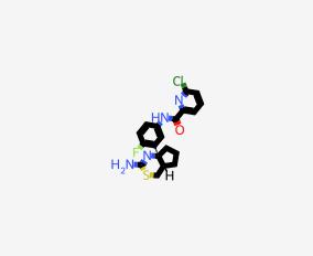 NC1=N[C@@]2(c3cc(NC(=O)c4cccc(Cl)n4)ccc3F)CCC[C@H]2CS1